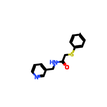 O=C(CSc1cc[c]cc1)NCc1cccnc1